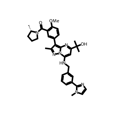 COc1ccc(-c2c(C)nn3c(NCc4cccc(-c5nccn5C)c4)cc(C(C)(C)O)nc23)cc1C(=O)N1CCC[C@@H]1C